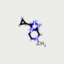 CN1CCn2c(nnc2C2CC2)C1